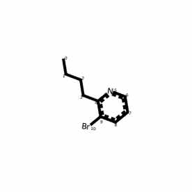 CCCCc1ncccc1Br